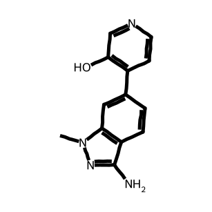 Cn1nc(N)c2ccc(-c3ccncc3O)cc21